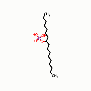 CCCCCCCCCC(CCCCCCC)OP(=O)(O)O